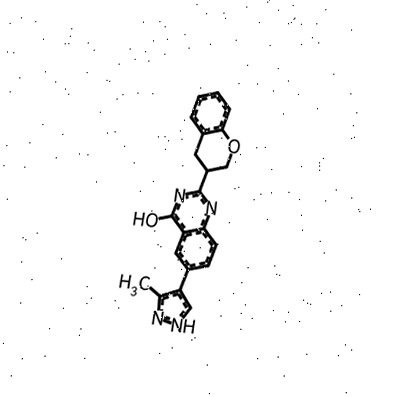 Cc1n[nH]cc1-c1ccc2nc(C3COc4ccccc4C3)nc(O)c2c1